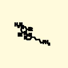 CCC1CN(N)CC(CC)N1c1nccc(CCCCP)n1